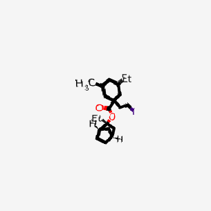 CCC1CC(C)CC(CCI)(C(=O)O[C@]2(CC)C[C@H]3CC[C@@H]2C3)C1